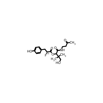 CC(=O)CCNC(=O)C(OC(=O)[C@@H](F)Cc1ccc(O)cc1)C(C)(C)CO